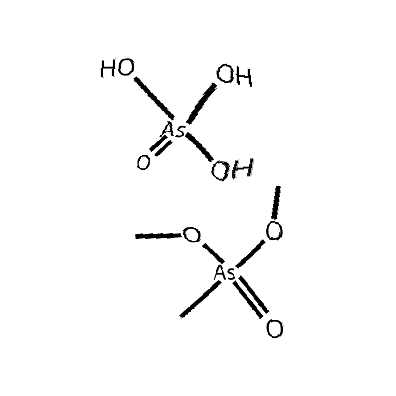 CO[As](C)(=O)OC.O=[As](O)(O)O